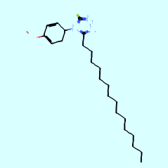 CCCCCCCCCCCCCCCc1n[nH]c(=S)n1C1C=CC(OC)=CC1